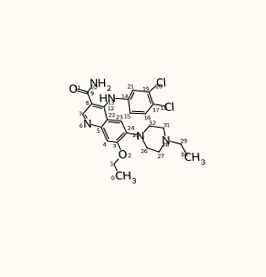 CCOc1cc2ncc(C(N)=O)c(Nc3ccc(Cl)c(Cl)c3)c2cc1N1CCN(CC)CC1